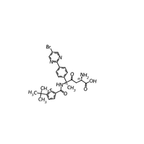 CC(C)(C)c1ccc(C(=O)N[C@](C)(C(=O)C[C@@H](N)C(=O)O)c2ccc(-c3ncc(Br)cn3)cc2)s1